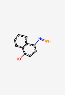 Oc1ccc(N=P)c2ccccc12